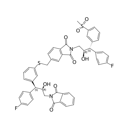 CS(=O)(=O)c1cccc([C@H](c2ccc(F)cc2)[C@@H](O)CN2C(=O)c3ccc(CSc4cccc([C@H](c5ccc(F)cc5)[C@@H](O)CN5C(=O)c6ccccc6C5=O)c4)cc3C2=O)c1